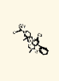 CN(C)C(=O)c1cn(CC2(O)CCN(C(=O)O)CC2(C)C)c(=O)cc1-c1ccccc1